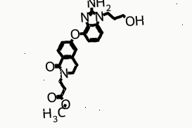 COC(=O)CCN1CCc2cc(Oc3cccc4c3nc(N)n4CCCO)ccc2C1=O